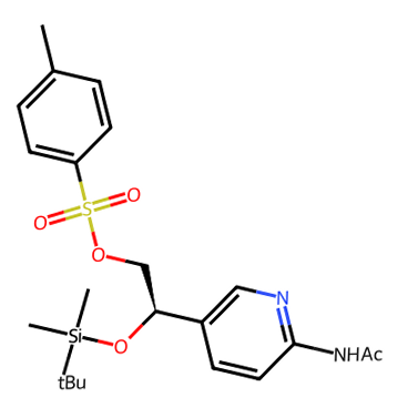 CC(=O)Nc1ccc([C@H](COS(=O)(=O)c2ccc(C)cc2)O[Si](C)(C)C(C)(C)C)cn1